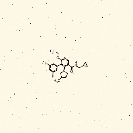 CC1CCN(c2c(C(=O)NCC3CC3)cnc(OCC(F)(F)F)c2-c2cc(F)cc(F)c2)C1